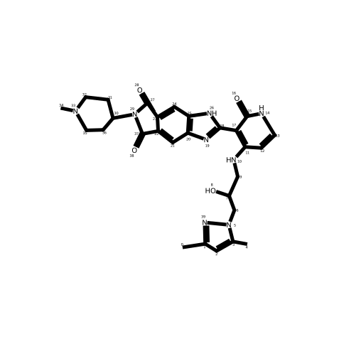 Cc1cc(C)n(CC(O)CNc2cc[nH]c(=O)c2-c2nc3cc4c(cc3[nH]2)C(=O)N(C2CCN(C)CC2)C4=O)n1